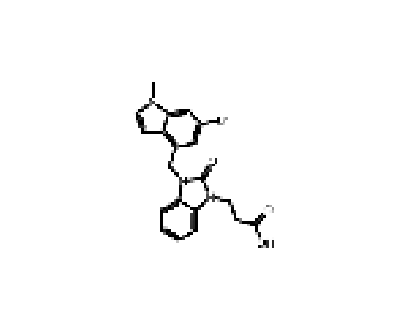 Cn1ccc2c(Cn3c(=O)n(CCC(=O)O)c4ccccc43)cc(Br)cc21